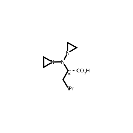 CC(C)C[C@@H](C(=O)O)N(N1CC1)N1CC1